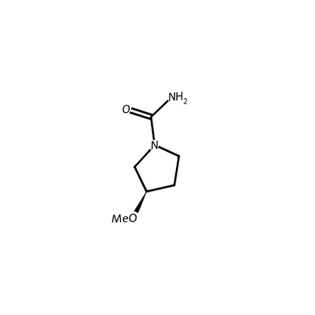 CO[C@@H]1CCN(C(N)=O)C1